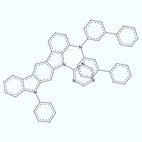 c1ccc(-c2cccc(N(c3cccc(-c4ccccc4)c3)c3cccc4c5cc6c7ccccc7n(-c7ccccc7)c6cc5n(-c5ncncn5)c34)c2)cc1